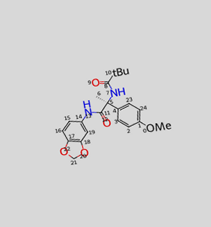 COc1ccc([C@](C)(NC(=O)C(C)(C)C)C(=O)Nc2ccc3c(c2)OCO3)cc1